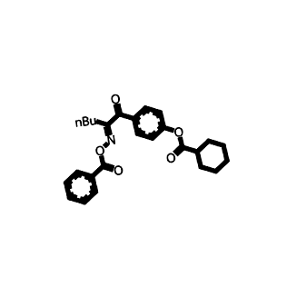 CCCC/C(=N\OC(=O)c1ccccc1)C(=O)c1ccc(OC(=O)C2CCCCC2)cc1